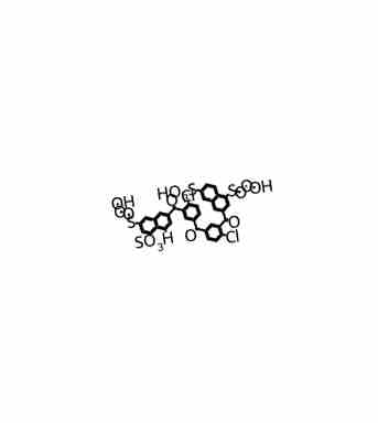 O=C(c1ccc(Cl)c(C(=O)c2cc(SOOO)c3ccc(S(=O)(=O)O)cc3c2)c1)c1ccc(Cl)c(C(=O)c2cc(S(=O)(=O)O)c3ccc(SOOO)cc3c2)c1